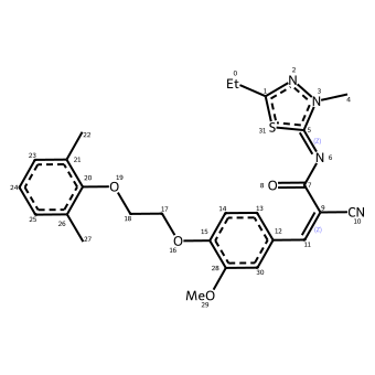 CCc1nn(C)/c(=N/C(=O)/C(C#N)=C\c2ccc(OCCOc3c(C)cccc3C)c(OC)c2)s1